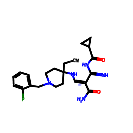 N#CCC1(N/C=C(\C(=N)NC(=O)C2CC2)C(N)=O)CCN(Cc2ccccc2F)CC1